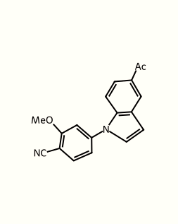 COc1cc(-n2ccc3cc(C(C)=O)ccc32)ccc1C#N